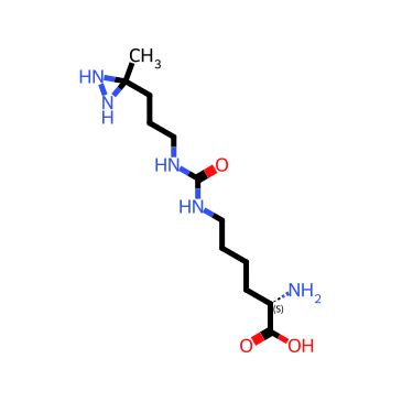 CC1(CCCNC(=O)NCCCC[C@H](N)C(=O)O)NN1